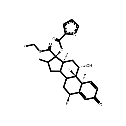 CC1CC2C3C[C@H](F)C4=CC(=O)C=C[C@]4(C)[C@@]3(F)[C@@H](O)C[C@]2(C)[C@@]1(OC(=O)c1ccco1)C(=O)SCF